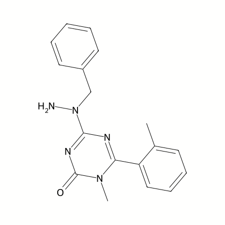 Cc1ccccc1-c1nc(N(N)Cc2ccccc2)nc(=O)n1C